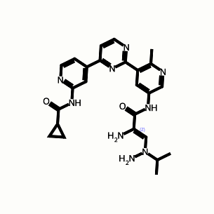 Cc1ncc(NC(=O)/C(N)=C/N(N)C(C)C)cc1-c1nccc(-c2ccnc(NC(=O)C3CC3)c2)n1